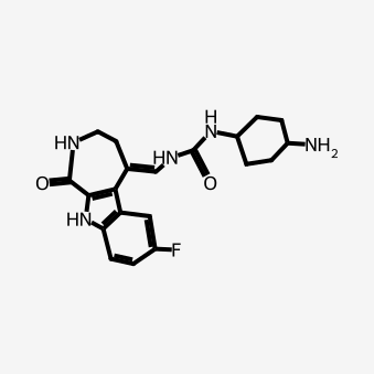 NC1CCC(NC(=O)N/C=C2\CCNC(=O)c3[nH]c4ccc(F)cc4c32)CC1